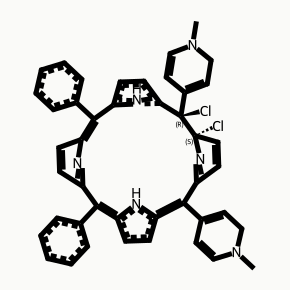 CN1C=CC(C2=c3ccc([nH]3)=C(c3ccccc3)C3=NC(=C(c4ccccc4)c4ccc([nH]4)[C@](Cl)(C4=CCN(C)C=C4)[C@@]4(Cl)C=CC2=N4)C=C3)=CC1